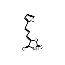 O=C1NC(=S)OC1=CC=Cc1ccco1